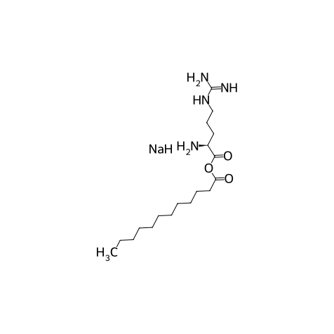 CCCCCCCCCCCC(=O)OC(=O)[C@@H](N)CCCNC(=N)N.[NaH]